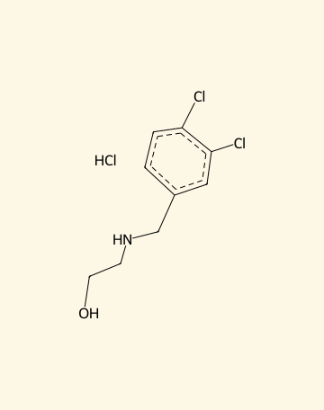 Cl.OCCNCc1ccc(Cl)c(Cl)c1